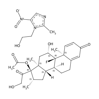 CC(=O)O[C@]1(C(=O)CO)[C@@H](C)C[C@H]2[C@@H]3CCC4=CC(=O)C=C[C@]4(C)[C@@]3(F)[C@@H](O)C[C@@]21C.Cc1ncc([N+](=O)[O-])n1CCO